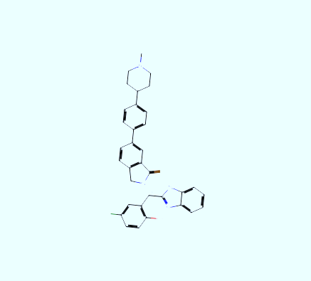 CN1CCC(c2ccc(-c3ccc4c(c3)C(=S)N([C@H](c3nc5ccccc5[nH]3)c3cc(F)ccc3O)C4)cc2)CC1